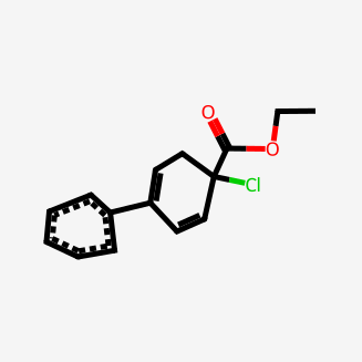 CCOC(=O)C1(Cl)C=CC(c2ccccc2)=CC1